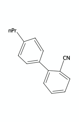 CCCc1ccc(-c2ccccc2C#N)cc1